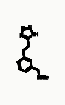 CNCc1cc[c]c(CCc2nnn[nH]2)c1